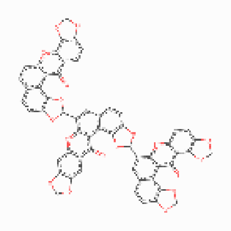 O=c1c2ccc3c(c2oc2ccc4ccc5c(c4c12)OC(c1cc2ccc4c(c2c2c(=O)c6cc7c(cc6oc12)OCO7)OC(c1cc2ccc6c(c2c2c(=O)c7c8c(ccc7oc12)OCO8)OCO6)O4)O5)OCO3